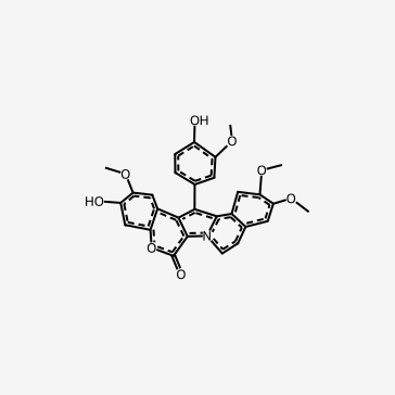 COc1cc(-c2c3c4cc(OC)c(O)cc4oc(=O)c3n3ccc4cc(OC)c(OC)cc4c23)ccc1O